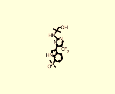 CC(C)(CO)Nc1ncc(C(F)(F)F)c(-c2c[nH]c3c(P(C)(C)=O)cccc23)n1